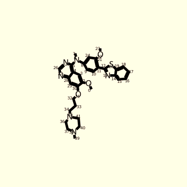 COc1cc2c(N(C)c3ccc(-c4nc5ccccc5s4)c(OC)c3)ncnc2cc1OCCCN1CCN(C)CC1